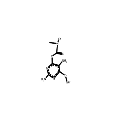 CCCOc1nc(N)nc(OC(=O)N(C)CC)c1N